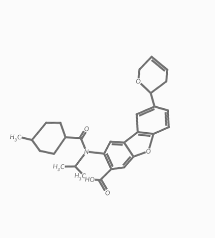 CC1CCC(C(=O)N(c2cc3c(cc2C(=O)O)oc2ccc(C4CC=CCO4)cc23)C(C)C)CC1